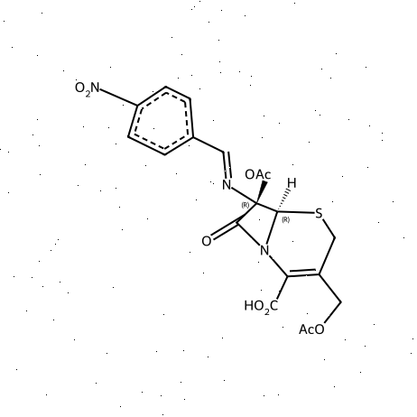 CC(=O)OCC1=C(C(=O)O)N2C(=O)[C@@](N=Cc3ccc([N+](=O)[O-])cc3)(OC(C)=O)[C@H]2SC1